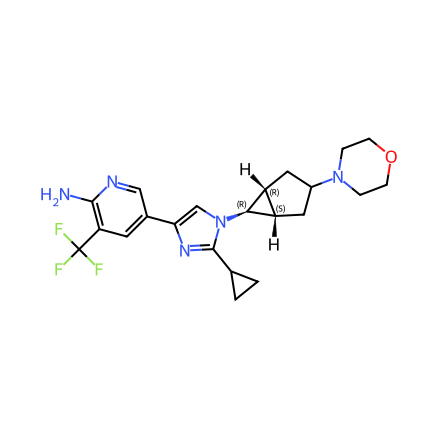 Nc1ncc(-c2cn([C@H]3[C@@H]4CC(N5CCOCC5)C[C@@H]43)c(C3CC3)n2)cc1C(F)(F)F